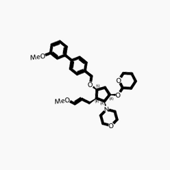 COC=CC[C@@H]1[C@@H](N2CCOCC2)[C@H](OC2CCCCO2)C[C@@H]1OCc1ccc(-c2cccc(OC)c2)cc1